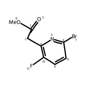 COC(=O)Cc1nc(Br)ccc1F